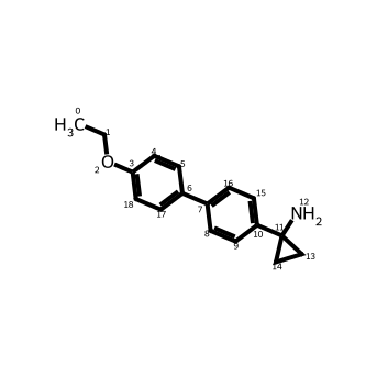 CCOc1[c]cc(-c2ccc(C3(N)CC3)cc2)cc1